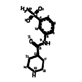 NS(=O)(=O)c1cccc(NC(=O)C2CCNCC2)c1